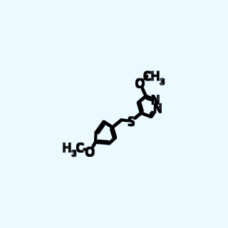 COc1ccc(CSc2cnnc(OC)c2)cc1